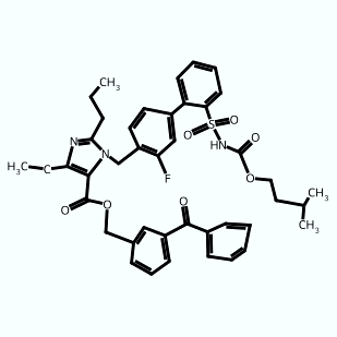 CCCc1nc(CC)c(C(=O)OCc2cccc(C(=O)c3ccccc3)c2)n1Cc1ccc(-c2ccccc2S(=O)(=O)NC(=O)OCCC(C)C)cc1F